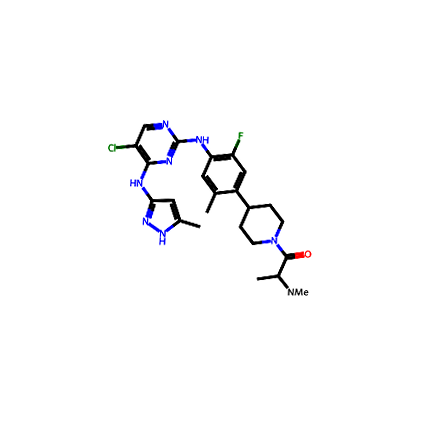 CNC(C)C(=O)N1CCC(c2cc(F)c(Nc3ncc(Cl)c(Nc4cc(C)[nH]n4)n3)cc2C)CC1